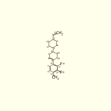 C=CC1CCC(C2CC=C(c3ccc(C)c(F)c3F)CC2)CC1